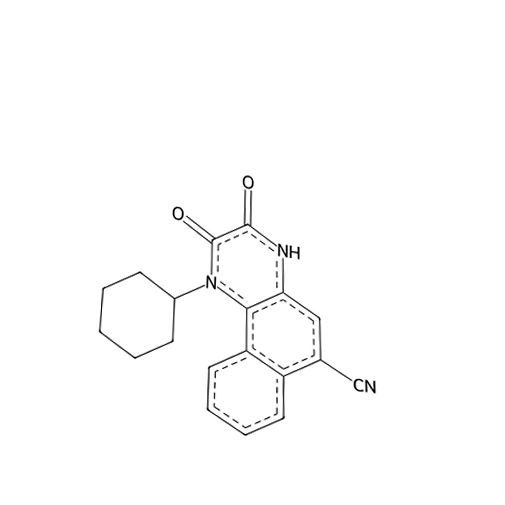 N#Cc1cc2[nH]c(=O)c(=O)n(C3CCCCC3)c2c2ccccc12